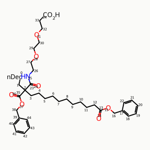 CCCCCCCCCCCC(CCCCCCCCCCC(=O)OCc1ccccc1)(C(=O)NCCOCCOCCC(=O)O)C(=O)OCc1ccccc1